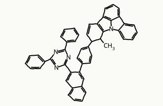 CC1c2c(c3cccc4c5ccccc5n2c34)C=CC1c1ccc(-c2cc3ccccc3cc2-c2nc(-c3ccccc3)nc(-c3ccccc3)n2)cc1